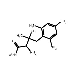 CNC(=O)C(N)C(C)(O)Cc1c(N)cc(C)cc1N